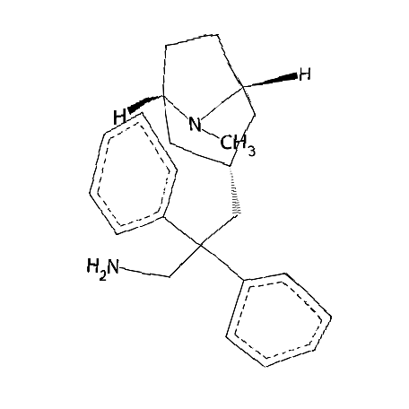 CN1[C@@H]2CC[C@H]1C[C@@H](CC(CN)(c1ccccc1)c1ccccc1)C2